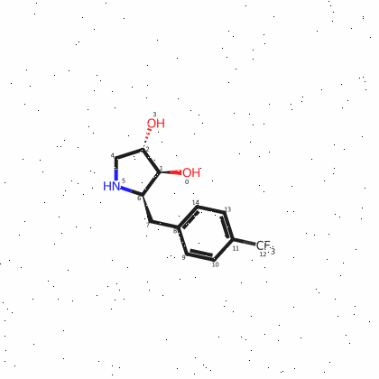 O[C@@H]1[C@@H](O)CN[C@@H]1Cc1ccc(C(F)(F)F)cc1